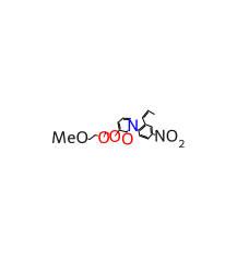 C/C=C\c1cc([N+](=O)[O-])ccc1-n1cccc(OCOCCOC)c1=O